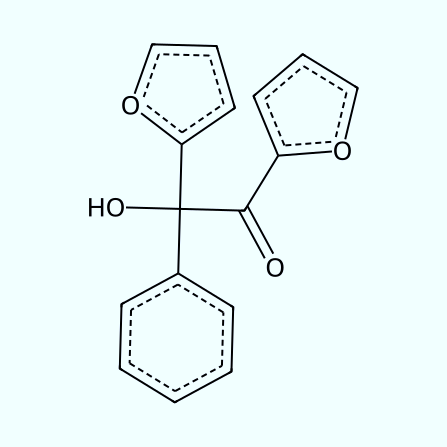 O=C(c1ccco1)C(O)(c1ccccc1)c1ccco1